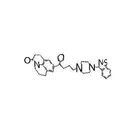 O=C(CCCN1CCN(c2nsc3ccccc23)CC1)c1cc2c3c(c1)CCC(=O)N3CCC2